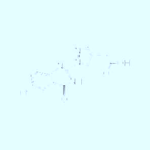 O=C(O)Oc1cnn(-c2nc3ccc(Cl)cc3c(=O)[nH]2)c1